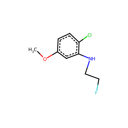 COc1ccc(Cl)c(NCCF)c1